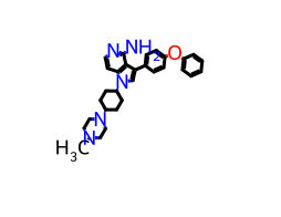 CN1CCN([C@H]2CC[C@H](n3cc(-c4ccc(Oc5ccccc5)cc4)c4c(N)nccc43)CC2)CC1